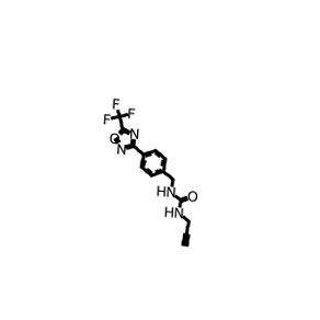 C#CCNC(=O)NCc1ccc(-c2noc(C(F)(F)F)n2)cc1